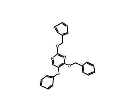 c1ccc(COc2ncc(Sc3ccccc3)c(OCc3ccccc3)n2)cc1